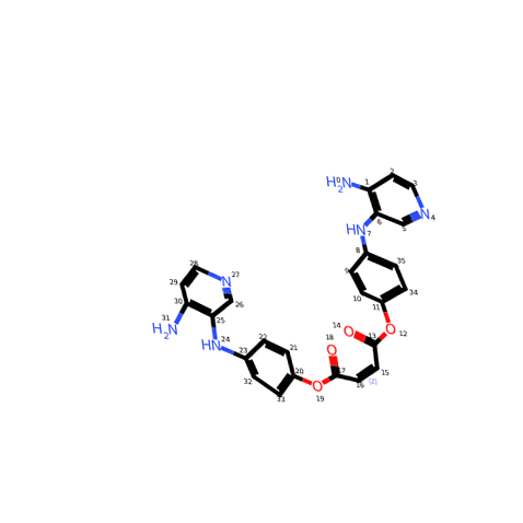 Nc1ccncc1Nc1ccc(OC(=O)/C=C\C(=O)Oc2ccc(Nc3cnccc3N)cc2)cc1